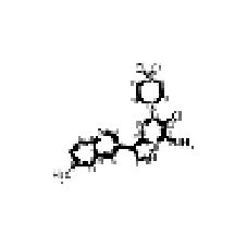 Cc1ccc2ncc(-c3cnn4c(N)c(Cl)c(N5CCS(=O)(=O)CC5)nc34)cc2c1